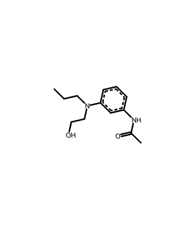 CCCN(CCO)c1cccc(NC(C)=O)c1